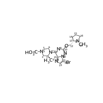 C[C@H]1CN(C(=O)O)CCN1c1nc(OC[C@@H]2CCCN2C)nn2c(Br)cnc12